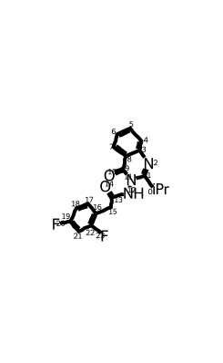 CC(C)c1nc2ccccc2c(=O)n1NC(=O)Cc1ccc(F)cc1F